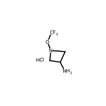 Cl.NC1CN(OC(F)(F)F)C1